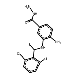 NNC(=O)c1ccc(N)c(NC(I)c2c(Cl)cccc2Cl)c1